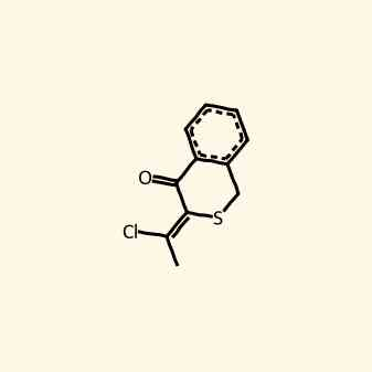 C/C(Cl)=C1\SCc2ccccc2C1=O